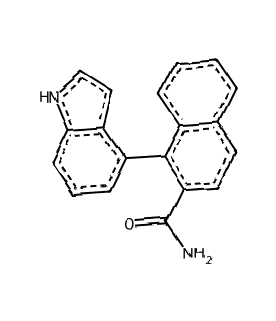 NC(=O)c1ccc2ccccc2c1-c1cccc2[nH]ccc12